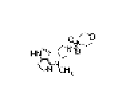 CN(c1ncnc2[nH]ccc12)[C@@H]1CCN(S(=O)(=O)N2CCOCC2)C1